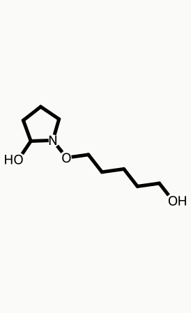 OCCCCCON1CCCC1O